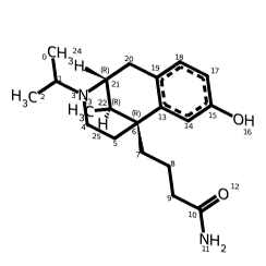 CC(C)N1CC[C@@]2(CCCC(N)=O)c3cc(O)ccc3C[C@@H]1[C@@H]2C